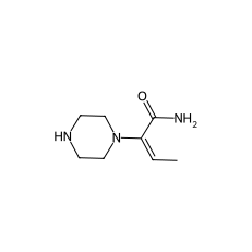 CC=C(C(N)=O)N1CCNCC1